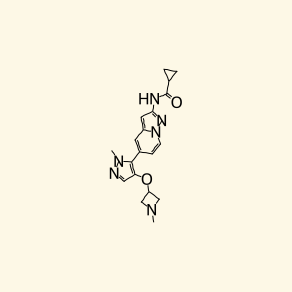 CN1CC(Oc2cnn(C)c2-c2ccn3nc(NC(=O)C4CC4)cc3c2)C1